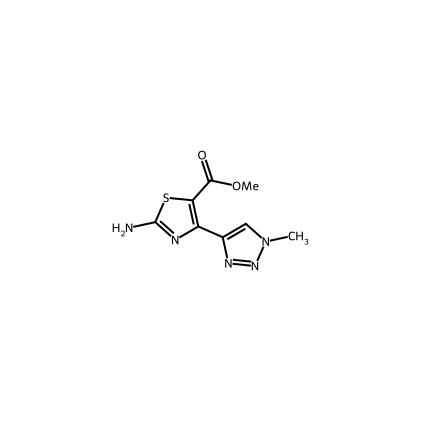 COC(=O)c1sc(N)nc1-c1cn(C)nn1